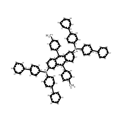 Cc1ccc(-c2c3ccc(N(c4ccc(-c5ccccc5)cc4)c4ccc(-c5ccccc5)cc4)cc3c(-c3ccc(C)cc3)c3ccc(N(c4ccc(-c5ccccc5)cc4)c4ccc(-c5ccccc5)cc4)cc23)cc1